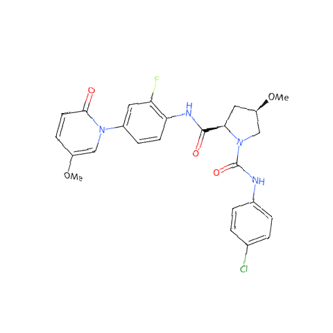 COc1ccc(=O)n(-c2ccc(NC(=O)[C@H]3C[C@@H](OC)CN3C(=O)Nc3ccc(Cl)cc3)c(F)c2)c1